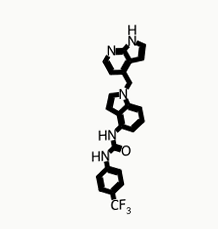 O=C(Nc1ccc(C(F)(F)F)cc1)Nc1cccc2c1ccn2Cc1ccnc2[nH]ccc12